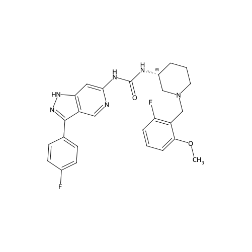 COc1cccc(F)c1CN1CCC[C@@H](NC(=O)Nc2cc3[nH]nc(-c4ccc(F)cc4)c3cn2)C1